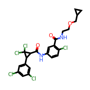 O=C(NCCOCC1CC1)c1cc(NC(=O)C2C(c3cc(Cl)cc(Cl)c3)C2(Cl)Cl)ccc1Cl